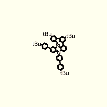 CC(C)(C)c1ccc(-c2ccc(-n3c4cccc5c4-n(c4cc(-c6ccc(C(C)(C)C)cc6)ccc43)n3c4ccc(C(C)(C)C)cc4c4cc(C(C)(C)C)cc5c43)cc2)cc1